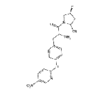 N#CC1C[C@H](F)CN1C(=O)C(N)Cc1ccc(Oc2ccc([N+](=O)[O-])cn2)cc1